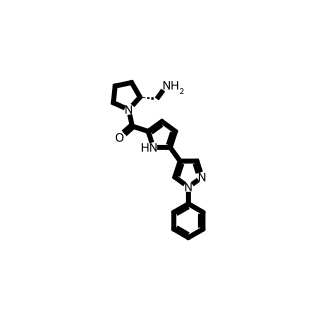 NC[C@H]1CCCN1C(=O)c1ccc(-c2cnn(-c3ccccc3)c2)[nH]1